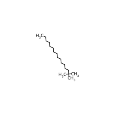 CCCCCCCCCCCCCCC(C)(C)C